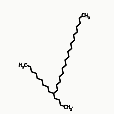 [CH2]CCCC(CCCCCCCCC)CCCCCCCCCCCCCCCCCCC